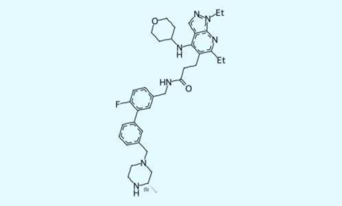 CCc1nc2c(cnn2CC)c(NC2CCOCC2)c1CCC(=O)NCc1ccc(F)c(-c2cccc(CN3CCN[C@@H](C)C3)c2)c1